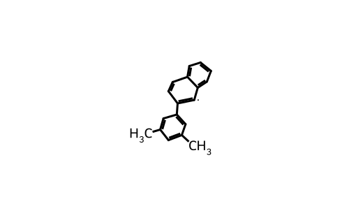 Cc1cc(C)cc(-c2[c]c3ccccc3cc2)c1